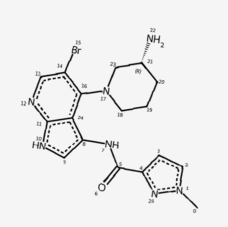 Cn1ccc(C(=O)Nc2c[nH]c3ncc(Br)c(N4CCC[C@@H](N)C4)c23)n1